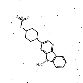 Cn1c2ccncc2c2ccc(N3CCC(O[SH](=O)=O)CC3)nc21